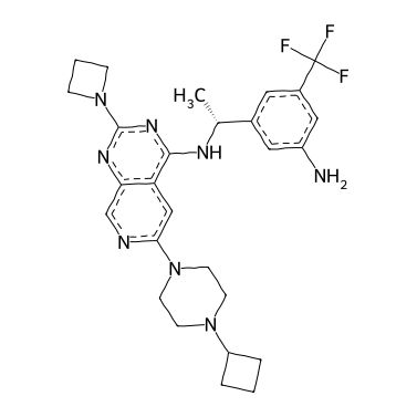 C[C@@H](Nc1nc(N2CCC2)nc2cnc(N3CCN(C4CCC4)CC3)cc12)c1cc(N)cc(C(F)(F)F)c1